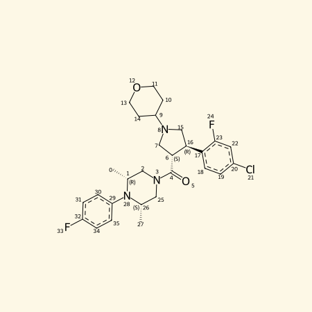 C[C@@H]1CN(C(=O)[C@@H]2CN(C3CCOCC3)C[C@H]2c2ccc(Cl)cc2F)C[C@H](C)N1c1ccc(F)cc1